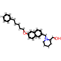 OCC1CCCCN1Cc1ccc2cc(OCCCCCc3ccccc3)ccc2c1